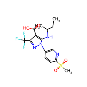 CCC(C)Nc1c(C(=O)O)c(C(F)(F)F)nn1-c1ccc(S(C)(=O)=O)nc1